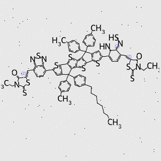 CCCCCCCCc1ccc(C2(c3ccc(C)cc3)c3cc(-c4ccc(/C=C5\SC(=S)N(CC)C5=O)c5nsnc45)sc3-c3sc4c5c(sc4c32)-c2sc(C3=CC=C(/C=C4\SC(=S)N(CC)C4=O)/C(=N/S)C3=N)cc2C5(c2ccc(C)cc2)c2ccc(C)cc2)cc1